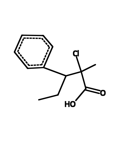 CCC(c1ccccc1)C(C)(Cl)C(=O)O